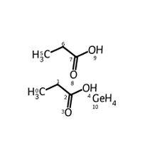 CCC(=O)O.CCC(=O)O.[GeH4]